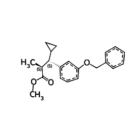 COC(=O)[C@@H](C)[C@@H](c1cccc(OCc2ccccc2)c1)C1CC1